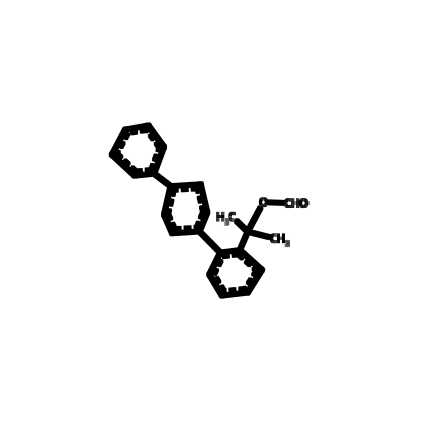 CC(C)(O[C]=O)c1ccccc1-c1ccc(-c2ccccc2)cc1